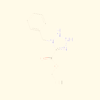 CCOC(=O)C1=NNNN1Cc1ccccc1